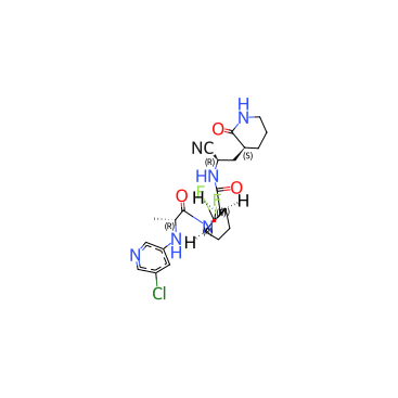 C[C@@H](Nc1cncc(Cl)c1)C(=O)N1[C@@H]2CC[C@H]([C@@H]1C(=O)N[C@@H](C#N)C[C@@H]1CCCNC1=O)C(F)(F)C2